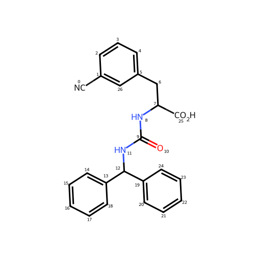 N#Cc1cccc(CC(NC(=O)NC(c2ccccc2)c2ccccc2)C(=O)O)c1